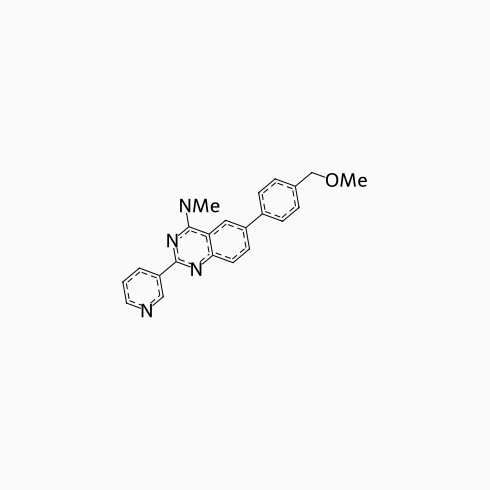 CNc1nc(-c2cccnc2)nc2ccc(-c3ccc(COC)cc3)cc12